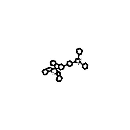 c1ccc(-c2cc(-c3ccc(-c4ccc5c(c4)-c4ccccc4C54c5ccc6ccccc6c5Oc5c4ccc4ccccc54)cc3)nc(-c3ccccc3)n2)cc1